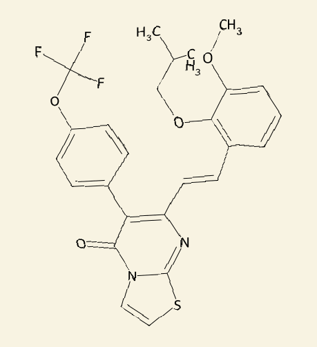 COc1cccc(C=Cc2nc3sccn3c(=O)c2-c2ccc(OC(F)(F)F)cc2)c1OCC(C)C